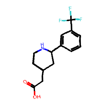 O=C(O)CC1CCNC(c2cccc(C(F)(F)F)c2)C1